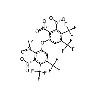 O=[N+]([O-])c1c(Oc2cc(C(F)(F)F)c(C(F)(F)F)c([N+](=O)[O-])c2[N+](=O)[O-])cc(C(F)(F)F)c(C(F)(F)F)c1[N+](=O)[O-]